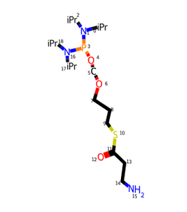 CC(C)N(C(C)C)P(OCOCCCSC(=O)CCN)N(C(C)C)C(C)C